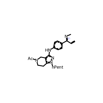 C=C/C(=N\C)c1ccc(Nc2nn(CCCCC)c3c2CN(C(C)=O)CC3)cc1